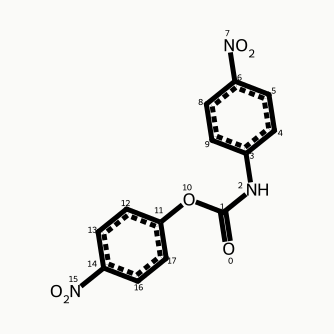 O=C(Nc1ccc([N+](=O)[O-])cc1)Oc1ccc([N+](=O)[O-])cc1